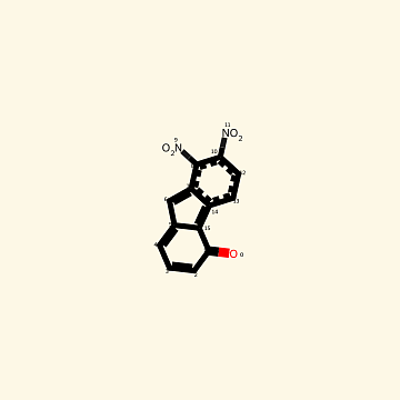 O=C1C=CC=C2C=c3c([N+](=O)[O-])c([N+](=O)[O-])ccc3=C12